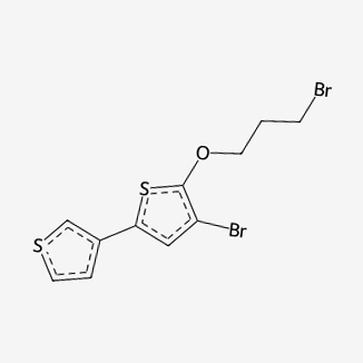 BrCCCOc1sc(-c2ccsc2)cc1Br